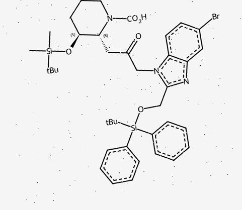 CC(C)(C)[Si](C)(C)O[C@H]1CCCN(C(=O)O)[C@@H]1CC(=O)Cn1c(CO[Si](c2ccccc2)(c2ccccc2)C(C)(C)C)nc2cc(Br)ccc21